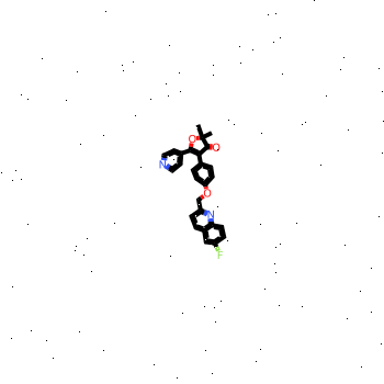 CC1(C)OC(c2ccncc2)=C(c2ccc(OCc3ccc4cc(F)ccc4n3)cc2)C1=O